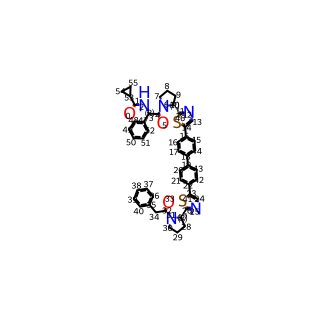 O=C(N[C@@H](C(=O)N1CCC[C@@H]1c1ncc(-c2ccc(-c3ccc(-c4cnc([C@H]5CCCN5C(=O)Cc5ccccc5)s4)cc3)cc2)s1)c1ccccc1)C1CC1